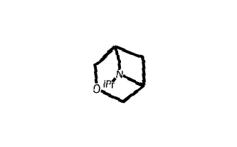 CC(C)N1C2COCC1C2